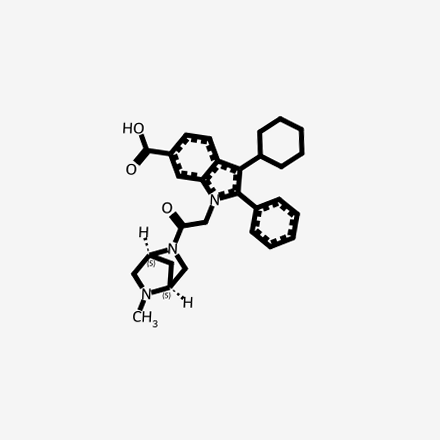 CN1C[C@@H]2C[C@H]1CN2C(=O)Cn1c(-c2ccccc2)c(C2CCCCC2)c2ccc(C(=O)O)cc21